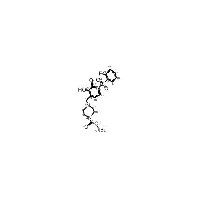 CC(C)(C)OC(=O)N1CCN(Cc2ccn(S(=O)(=O)c3ccccc3F)c(=O)c2O)CC1